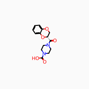 O=C(O)N1CCN(C(=O)[C@H]2COc3ccccc3O2)CC1